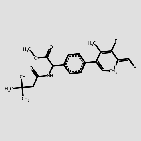 C\C=C(/C(C)=C(F)\C(F)=C\F)c1ccc(C(NC(=O)CC(C)(C)C)C(=O)OC)cc1